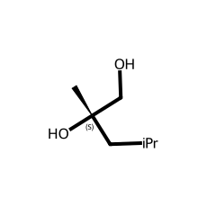 CC(C)C[C@](C)(O)CO